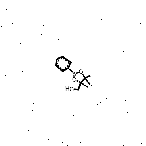 CC1(C)OB(c2ccccc2)OC1(C)CO